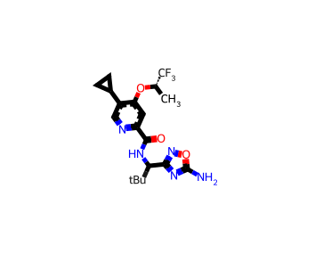 C[C@H](Oc1cc(C(=O)NC(c2noc(N)n2)C(C)(C)C)ncc1C1CC1)C(F)(F)F